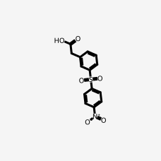 O=C(O)Cc1cccc(S(=O)(=O)c2ccc([N+](=O)[O-])cc2)c1